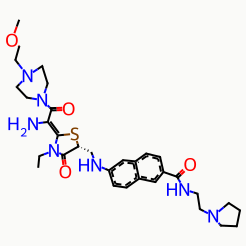 CCN1C(=O)[C@@H](CNc2ccc3cc(C(=O)NCCN4CCCC4)ccc3c2)S/C1=C(/N)C(=O)N1CCN(CCOC)CC1